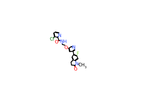 CN1C(=O)CCc2cc(-c3cncc(OCCNC(=O)c4ncccc4Cl)c3)c(F)cc21